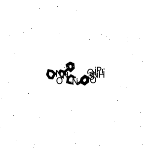 CC(C)NS(=O)(=O)c1ccc(CN2CCC(N3C(=O)N(C4CCCCC4)CC3c3ccccc3)CC2)cc1